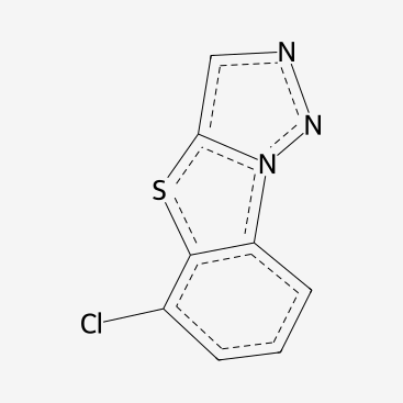 Clc1cccc2c1sc1cnnn12